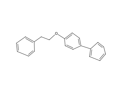 c1ccc(CCOc2ccc(-c3ccccc3)cc2)cc1